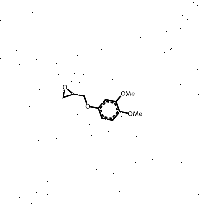 COc1ccc(OCC2CO2)cc1OC